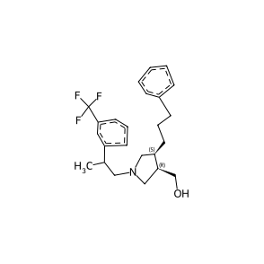 CC(CN1C[C@@H](CCCc2ccccc2)[C@@H](CO)C1)c1cccc(C(F)(F)F)c1